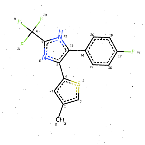 Cc1csc(-c2nc(C(F)(F)F)[nH]c2-c2ccc(F)cc2)c1